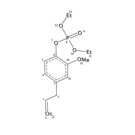 C=CCc1ccc(OP(=O)(OCC)OCC)c(OC)c1